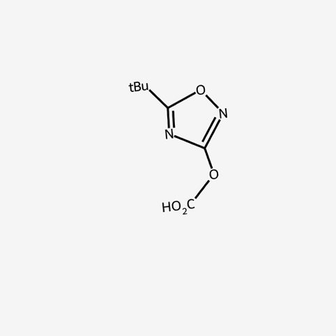 CC(C)(C)c1nc(OC(=O)O)no1